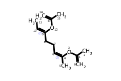 C=C(C)O/C(C)=C\CC/C(=C/C)OC(=C)C